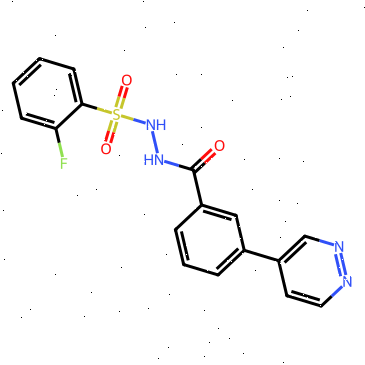 O=C(NNS(=O)(=O)c1ccccc1F)c1cccc(-c2ccnnc2)c1